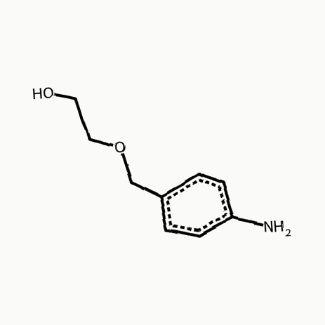 Nc1ccc(COCCO)cc1